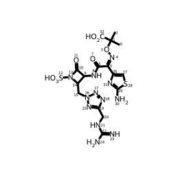 CC(C)(O/N=C(\C(=O)NC1C(=O)N(S(=O)(=O)O)C1Cn1nnc(CNC(=N)N)n1)c1csc(N)n1)C(=O)O